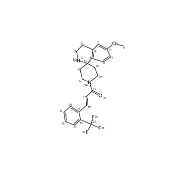 COc1ccc2c(c1)CCNC21CCN(C(=O)C=Cc2ccccc2C(F)(F)F)CC1